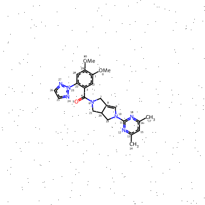 COc1cc(C(=O)N2CC3=CN(c4nc(C)cc(C)n4)CC3C2)c(-n2nccn2)cc1OC